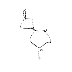 F[C@H]1COC2(CNC2)C1